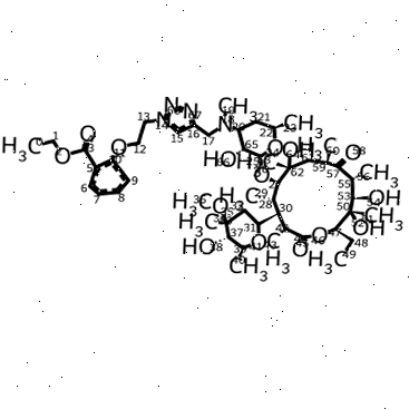 CCOC(=O)c1ccccc1OCCn1cc(CN(C)[C@H]2C[C@@H](C)O[C@@H](O[C@@H]3[C@@H](C)[C@H](C4C[C@@](C)(OC)[C@@H](O)[C@H](C)O4)[C@@H](C)C(=O)O[C@H](CC)[C@@](C)(O)[C@H](O)[C@@H](C)C(=O)[C@H](C)C[C@@]3(C)O)[C@@H]2O)nn1